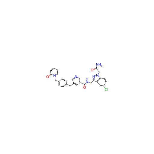 NC(=O)Cn1nc(CNC(=O)c2cncc(Cc3ccc(Cn4ccccc4=O)cc3)c2)c2cc(Cl)ccc21